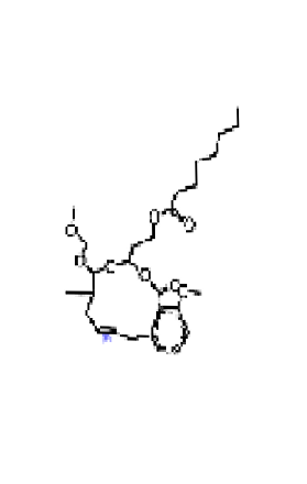 CCCCCCCC(=O)OCCC1CC(OCOC)C(C)C/C=C/Cc2cccc(OC)c2C(=O)O1